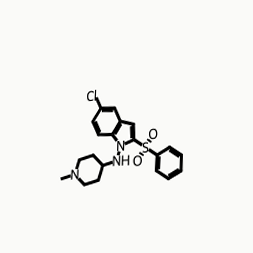 CN1CCC(Nn2c(S(=O)(=O)c3ccccc3)cc3cc(Cl)ccc32)CC1